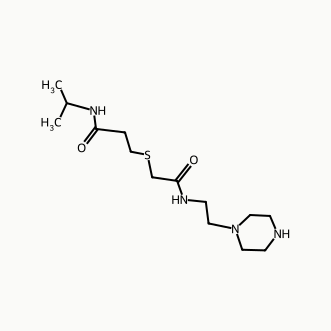 CC(C)NC(=O)CCSCC(=O)NCCN1CCNCC1